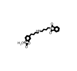 Cn1c(=O)oc2cc(CCCCNCCCCN3C(=O)c4ccccc4C3=O)ccc21